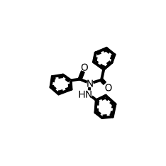 O=C(c1ccccc1)N(Nc1ccccc1)C(=O)c1ccccc1